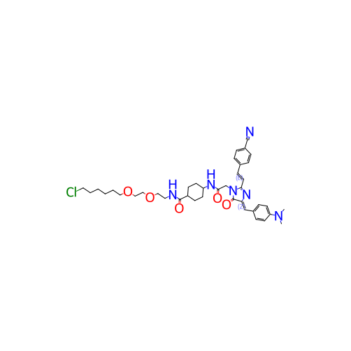 CN(C)c1ccc(/C=C2N=C(/C=C/c3ccc(C#N)cc3)N(CC(=O)NC3CCC(C(=O)NCCOCCOCCCCCCCl)CC3)C\2=O)cc1